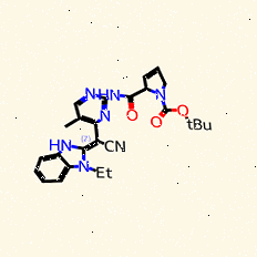 CCN1/C(=C(\C#N)c2nc(NC(=O)C3C=CCN3C(=O)OC(C)(C)C)ncc2C)Nc2ccccc21